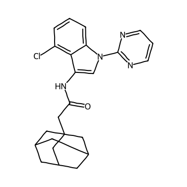 O=C(CC12CC3CC(CC(C3)C1)C2)Nc1cn(-c2ncccn2)c2cccc(Cl)c12